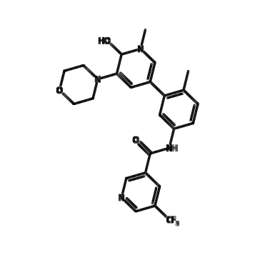 Cc1ccc(NC(=O)c2cncc(C(F)(F)F)c2)cc1C1=CN(C)C(O)C(N2CCOCC2)=C1